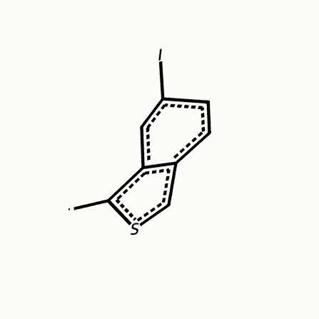 [CH2]c1scc2ccc(I)cc12